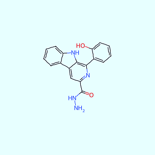 NNC(=O)c1cc2c([nH]c3ccccc32)c(-c2ccccc2O)n1